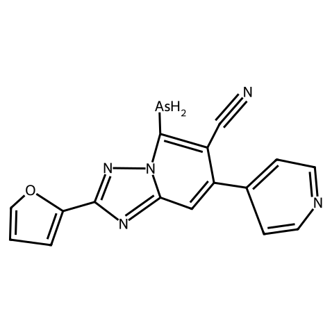 N#Cc1c(-c2ccncc2)cc2nc(-c3ccco3)nn2c1[AsH2]